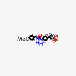 COc1ccc(CNC(=O)Nc2ccc([C@@H]3CCN(S(C)(=O)=O)C3)cc2)cc1